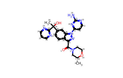 C[C@@H]1CN(C(=O)c2nn(-c3ccnc(N)n3)c3cc(C(C)(O)c4ncccn4)ccc23)CCO1